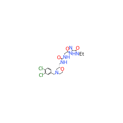 CCNC(=O)c1noc(CNC(=O)NC[C@H]2CN(Cc3ccc(Cl)c(Cl)c3)CCO2)n1